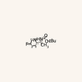 CC(NC(=O)OC(C)(C)C)c1ccc(F)cn1